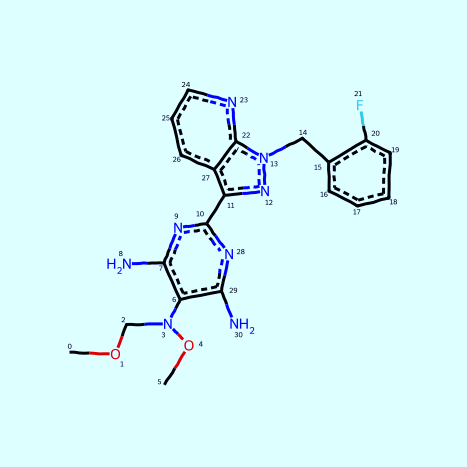 COCN(OC)c1c(N)nc(-c2nn(Cc3ccccc3F)c3ncccc23)nc1N